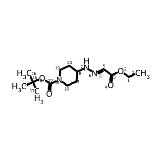 CCOC(=O)/C=N/NC1CCN(C(=O)OC(C)(C)C)CC1